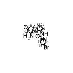 CN1C(=O)CC(C)(c2cc(NC(=O)c3ccc(Br)cn3)ccn2)N=C1N